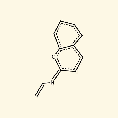 C=CN=c1ccc2ccccc2o1